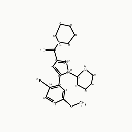 COc1cc(-c2cc(C(=O)N3CCCCC3)nn2C2CCCCO2)c(F)cn1